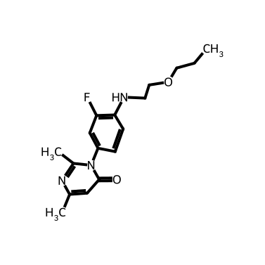 CCCOCCNc1ccc(-n2c(C)nc(C)cc2=O)cc1F